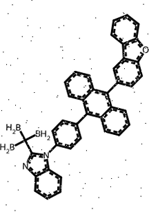 BC(B)(B)c1nc2ccccc2n1-c1ccc(-c2c3ccccc3c(-c3ccc4oc5ccccc5c4c3)c3ccccc23)cc1